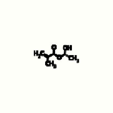 C=C(C)C(=O)O[C@@H](C)O